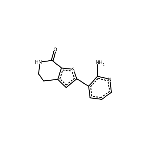 Nc1ncccc1-c1cc2c(s1)C(=O)NCC2